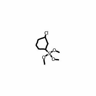 CO[Si](OC)(OC)C1CCCC(Cl)C1